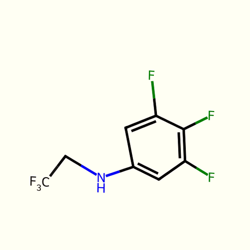 Fc1cc(NCC(F)(F)F)cc(F)c1F